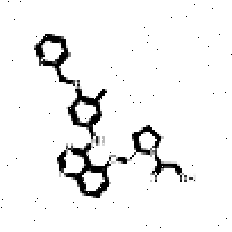 Cc1cc(Nc2ncnc3cccc(OC[C@@H]4CCCN4C(=O)CO)c23)ccc1OCc1ccccn1